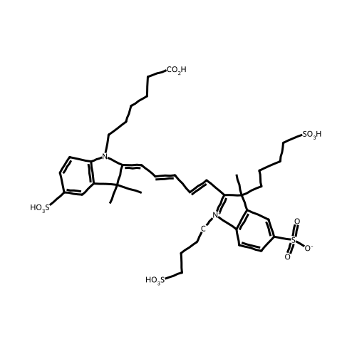 CC1(CCCCS(=O)(=O)O)C(/C=C/C=C/C=C2/N(CCCCCC(=O)O)c3ccc(S(=O)(=O)O)cc3C2(C)C)=[N+](CCCCS(=O)(=O)O)c2ccc(S(=O)(=O)[O-])cc21